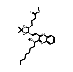 CCCCCCC[C@@H](O)c1nc2ccccc2nc1/C=C/[C@H]1OC(C)(C)O[C@H]1CCCC(=O)OC